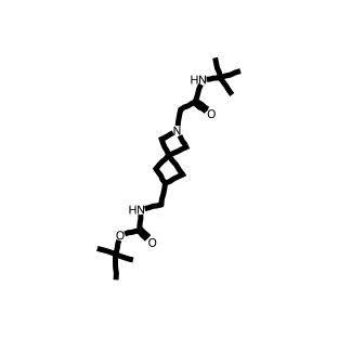 CC(C)(C)NC(=O)CN1CC2(CC(CNC(=O)OC(C)(C)C)C2)C1